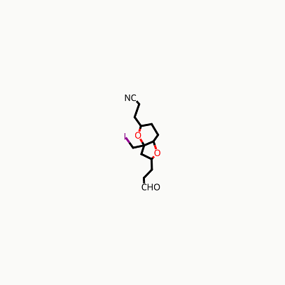 N#CCCC1CCC2OC(CCC=O)CC2(CI)O1